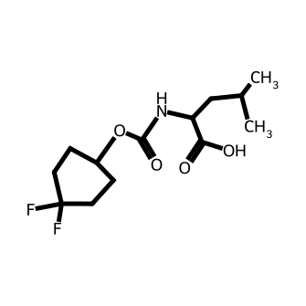 CC(C)CC(NC(=O)OC1CCC(F)(F)CC1)C(=O)O